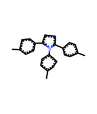 Cc1ccc(-c2ccc(-c3ccc(C)cc3)n2-c2ccc(C)cc2)cc1